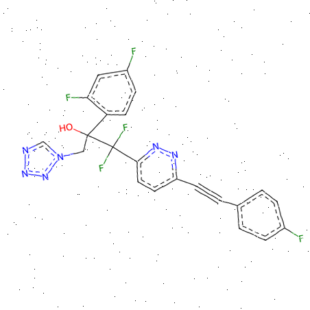 OC(Cn1cnnn1)(c1ccc(F)cc1F)C(F)(F)c1ccc(C#Cc2ccc(F)cc2)nn1